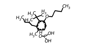 CCCCOc1ccc(C)c(CCCC)c1C(C)(C)C.OP(O)O